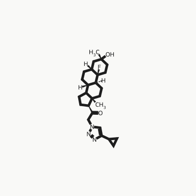 C[C@@]1(O)CC[C@@]2(F)[C@H](CC[C@H]3C4CC[C@H](C(=O)Cn5cc(C6CC6)nn5)[C@@]4(C)CC[C@@H]32)C1